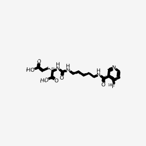 O=C(O)CC[C@H](NC(=O)NCCCCCNC(=O)c1cnccc1[18F])C(=O)O